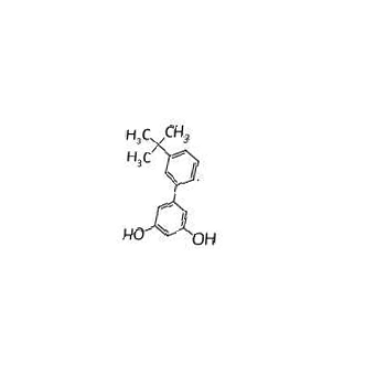 CC(C)(C)c1cc[c]c(-c2cc(O)cc(O)c2)c1